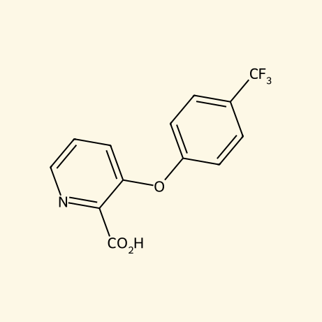 O=C(O)c1ncccc1Oc1ccc(C(F)(F)F)cc1